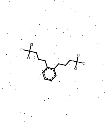 ClC(Cl)(Cl)CCCc1c[c]ccc1CCCC(Cl)(Cl)Cl